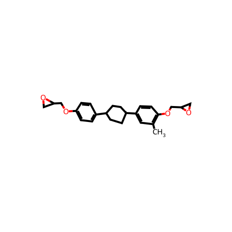 Cc1cc([C]2CCC(c3ccc(OCC4CO4)cc3)CC2)ccc1OCC1CO1